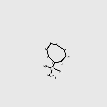 C[Si](F)(F)C1CCCCCCC1